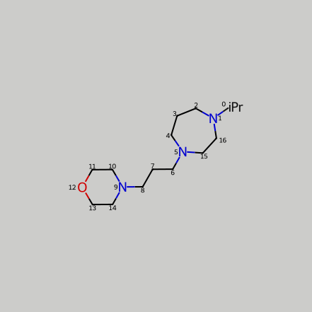 CC(C)N1CCCN(CCCN2CCOCC2)CC1